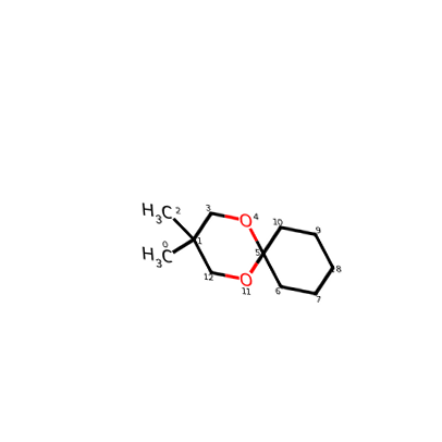 CC1(C)COC2(CC[CH]CC2)OC1